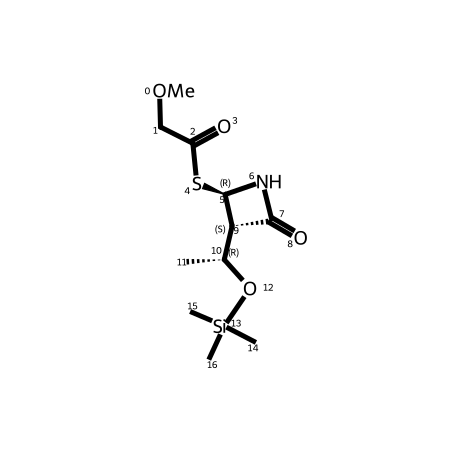 COCC(=O)S[C@H]1NC(=O)[C@@H]1[C@@H](C)O[Si](C)(C)C